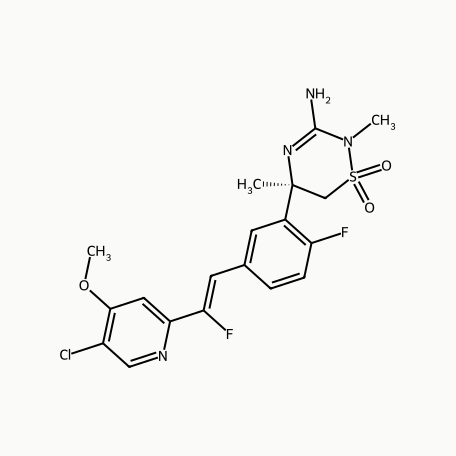 COc1cc(/C(F)=C/c2ccc(F)c([C@]3(C)CS(=O)(=O)N(C)C(N)=N3)c2)ncc1Cl